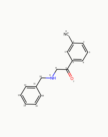 N#Cc1cccc(C(=O)CNCc2cc[c]cc2)c1